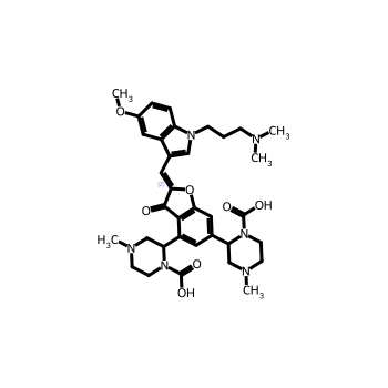 COc1ccc2c(c1)c(/C=C1\Oc3cc(C4CN(C)CCN4C(=O)O)cc(C4CN(C)CCN4C(=O)O)c3C1=O)cn2CCCN(C)C